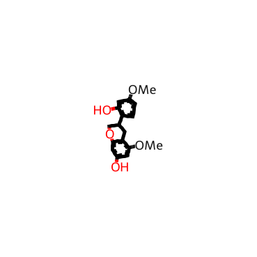 COc1ccc(C2COc3cc(O)cc(OC)c3C2)c(O)c1